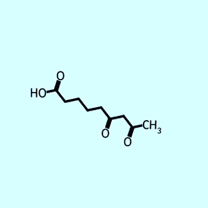 CC(=O)CC(=O)CCCCC(=O)O